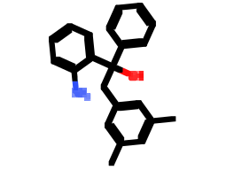 Cc1cc(C)cc(CC(O)(c2ccccc2)c2ccccc2N)c1